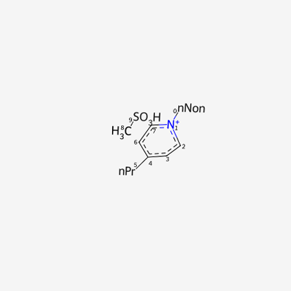 CCCCCCCCC[n+]1ccc(CCC)cc1.CS(=O)(=O)O